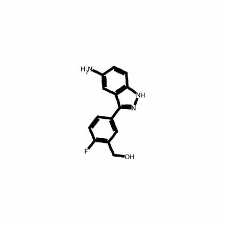 Nc1ccc2[nH]nc(-c3ccc(F)c(CO)c3)c2c1